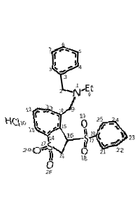 CCN(Cc1ccccc1)Cc1cccc2c1C(S(=O)(=O)c1ccccc1)CS2(=O)=O.Cl